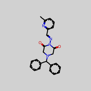 Cc1cccc(/C=N/N2C(=O)CN(C(c3ccccc3)c3ccccc3)CC2=O)n1